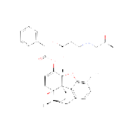 COc1ccc2c3c1O[C@H]1C(OC(=O)[C@@H](OC(=O)CCNC(=O)[C@H](C)O)c4ccccc4)=CC[C@@]4(O)[C@H](CCC[C@]314)C2